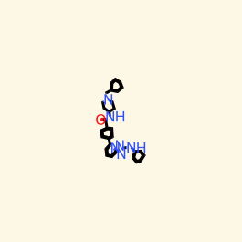 O=C(NC1CCN(Cc2ccccc2)CC1)c1ccc(-c2cccc3nc(Nc4ccccc4)nn23)cc1